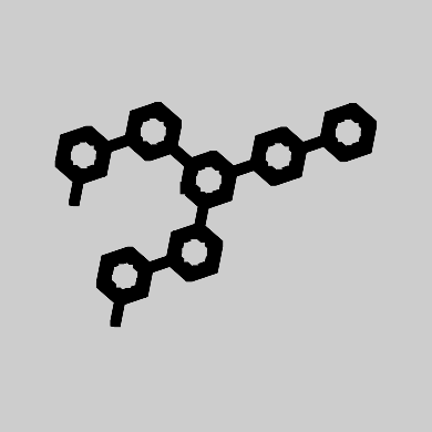 Cc1cccc(-c2cccc(-c3cc(-c4ccc(-c5ccccc5)cc4)cc(-c4cccc(-c5cccc(C)c5)c4)n3)c2)c1